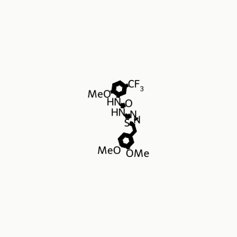 COc1ccc(C(F)(F)F)cc1NC(=O)Nc1nnc(Cc2ccc(OC)c(OC)c2)s1